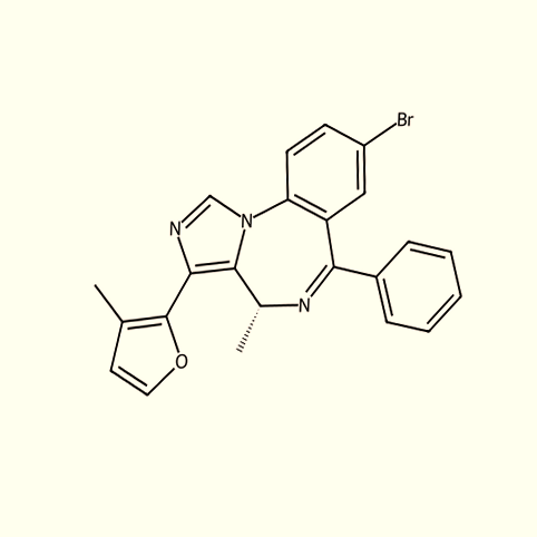 Cc1ccoc1-c1ncn2c1[C@@H](C)N=C(c1ccccc1)c1cc(Br)ccc1-2